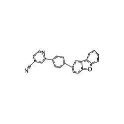 N#Cc1ccnc(-c2ccc(-c3ccc4oc5ccccc5c4c3)cc2)c1